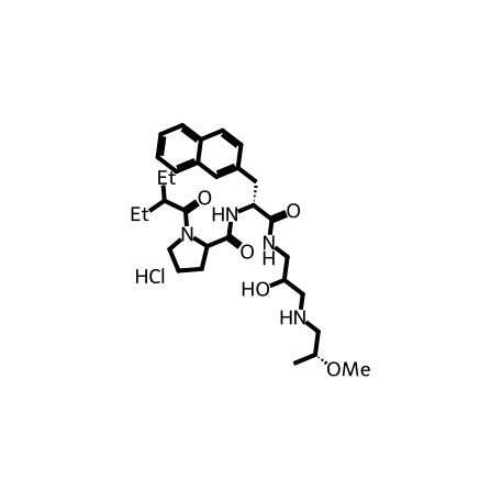 CCC(CC)C(=O)N1CCCC1C(=O)N[C@H](Cc1ccc2ccccc2c1)C(=O)NCC(O)CNC[C@@H](C)OC.Cl